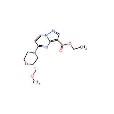 CCOC(=O)c1cnn2ccc(N3CCO[C@@H](COC)C3)nc12